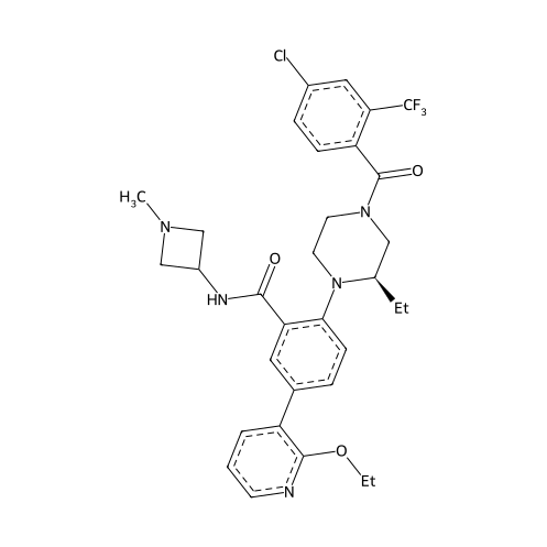 CCOc1ncccc1-c1ccc(N2CCN(C(=O)c3ccc(Cl)cc3C(F)(F)F)C[C@H]2CC)c(C(=O)NC2CN(C)C2)c1